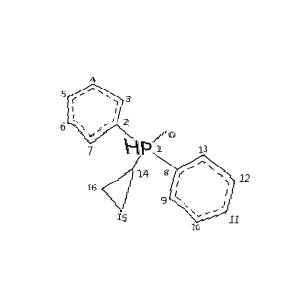 C[PH](c1ccccc1)(c1ccccc1)C1CC1